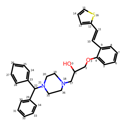 OC(COc1ccccc1/C=C/c1cccs1)CN1CCN(C(c2ccccc2)c2ccccc2)CC1